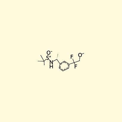 COCC(F)(F)c1cccc([C@@H](C)N[S@+]([O-])C(C)(C)C)c1